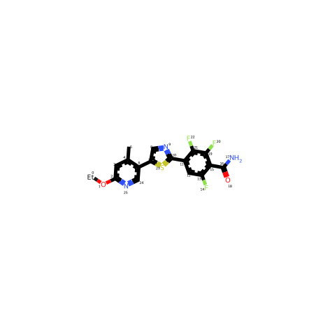 CCOc1cc(C)c(-c2cnc(-c3cc(F)c(C(N)=O)c(F)c3F)s2)cn1